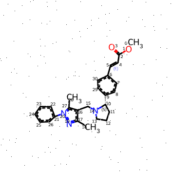 COC(=O)/C=C/c1ccc([C@@H]2CCCN2Cc2c(C)nn(-c3ccccc3)c2C)cc1